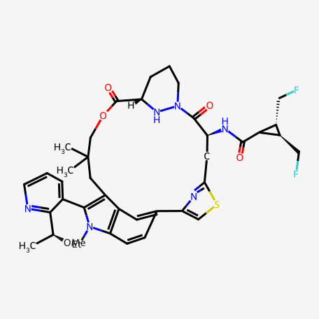 CCn1c(-c2cccnc2[C@H](C)OC)c2c3cc(ccc31)-c1csc(n1)C[C@H](NC(=O)C1[C@H](CF)[C@H]1CF)C(=O)N1CCC[C@H](N1)C(=O)OCC(C)(C)C2